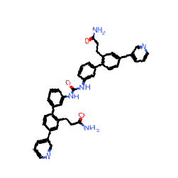 NC(=O)CCc1cc(-c2cccnc2)ccc1-c1cccc(NC(=O)Nc2cccc(-c3ccc(-c4cccnc4)cc3CCC(N)=O)c2)c1